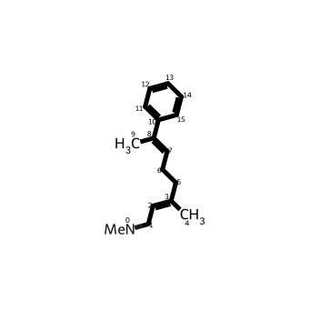 CNCC=C(C)CCC=C(C)c1ccccc1